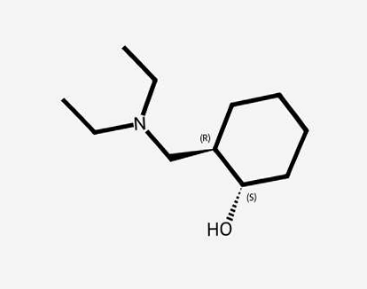 CCN(CC)C[C@H]1CCCC[C@@H]1O